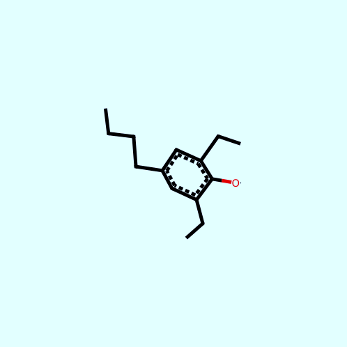 CCCCc1cc(CC)c([O])c(CC)c1